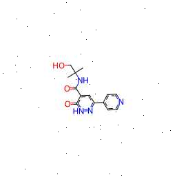 CC(C)(CO)NC(=O)c1cc(-c2ccncc2)n[nH]c1=O